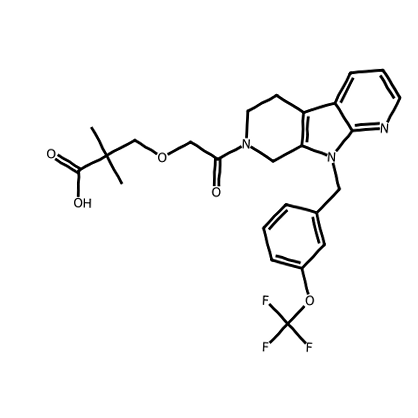 CC(C)(COCC(=O)N1CCc2c(n(Cc3cccc(OC(F)(F)F)c3)c3ncccc23)C1)C(=O)O